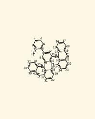 Fc1ccccc1-c1cc2c3c(c1)N1c4ccccc4Sc4cccc(c41)B3c1cccc3c1N2c1ccccc1S3